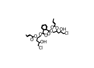 CC=CC(=O)OC(COC(=O)c1ccccc1C(=O)OCC(CC(O)CCl)OC(=O)C=CC)CC(O)CCl